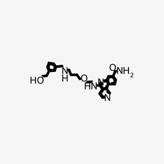 NC(=O)c1ccc2c(c1)nc(NCCOCCCCNCc1cccc(CCO)c1)c1ccncc12